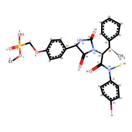 CCOP(=O)(O)COc1ccc(C2NC(=O)N([C@H](C(=O)N(F)c3ccc(I)cc3)[C@@H](C)c3ccccc3)C2=O)cc1